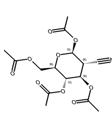 CC(=O)OC[C@H]1O[C@@H](OC(C)=O)[C@H](C#N)[C@@H](OC(C)=O)[C@@H]1OC(C)=O